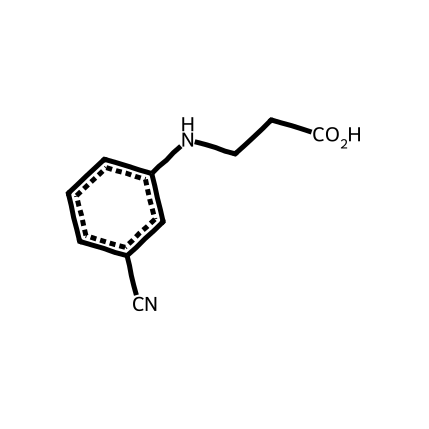 N#Cc1cccc(NCCC(=O)O)c1